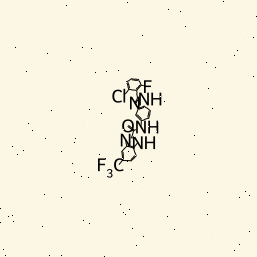 O=C(Nc1ccc2[nH]c(-c3c(F)cccc3Cl)nc2c1)c1nc2cc(C(F)(F)F)ccc2[nH]1